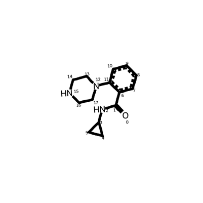 O=C(NC1CC1)c1ccccc1N1CCNCC1